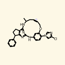 CC1C/C=C\COc2cc(ccc2-n2cnc(Cl)c2)Nc2nc(c3c(n2)C(c2ccccc2)CC3)N1